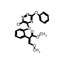 COC=C(C(=O)OC)c1ccccc1Oc1nc(Oc2ccccc2)nnc1Cl